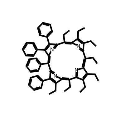 CCC1=C(CC)C2=C(CC)C3=NC(=C(CC)C4=NC(=C(c5ccccc5)C5=NC(=C(CC)C1=N2)C(CC)=C5c1ccccc1)C(c1ccccc1)=C4c1ccccc1)C(CC)=C3CC